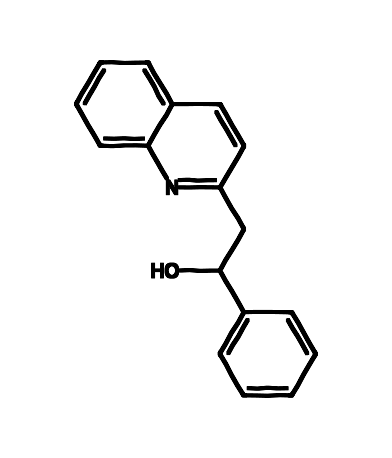 OC(Cc1ccc2ccccc2n1)c1ccccc1